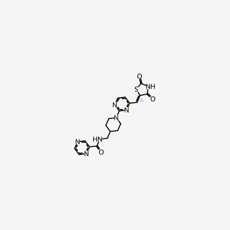 O=C1NC(=O)/C(=C/c2ccnc(N3CCC(CNC(=O)c4cnccn4)CC3)n2)S1